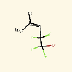 CCC(=CC(F)(F)C(F)(F)Br)C(=O)O